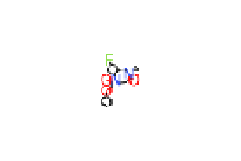 O=C(COc1ccccc1)N1CCC(=O)N(C2CC2)Cc2cc(F)ccc21